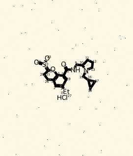 CCc1cc2c(c(C(=O)NCC3CCCN3CC3CC3)c1)OC(=S(=O)=O)CC2.Cl